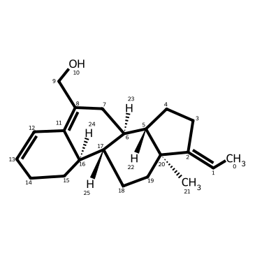 CC=C1CC[C@H]2[C@@H]3CC(CO)=C4C=CCC[C@@H]4[C@H]3CC[C@]12C